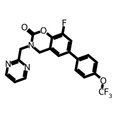 O=C1Oc2c(F)cc(-c3ccc(OC(F)(F)F)cc3)cc2CN1Cc1ncccn1